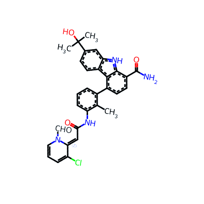 Cc1c(NC(=O)/C=C2/C(Cl)=CC=CN2C=O)cccc1-c1ccc(C(N)=O)c2[nH]c3cc(C(C)(C)O)ccc3c12